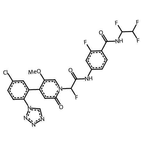 COc1cn(C(F)C(=O)Nc2ccc(C(=O)NC(F)C(F)F)c(F)c2)c(=O)cc1-c1cc(Cl)ccc1-n1cnnn1